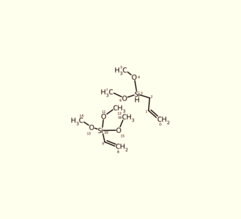 C=CC[SiH](OC)OC.C=C[Si](OC)(OC)OC